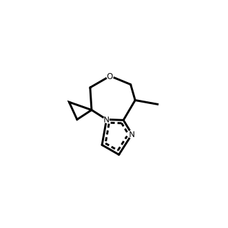 CC1COCC2(CC2)n2ccnc21